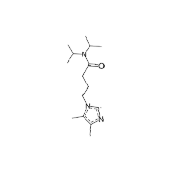 Cc1n[c]n(CCCC(=O)N(C(C)C)C(C)C)c1C